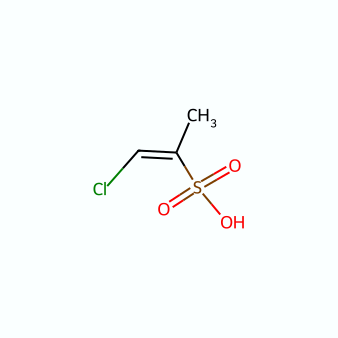 CC(=CCl)S(=O)(=O)O